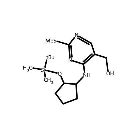 CSc1ncc(CO)c(NC2CCCC2O[Si](C)(C)C(C)(C)C)n1